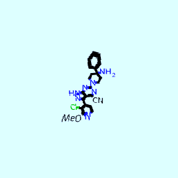 COc1nccc(-c2n[nH]c3nc(N4CCC(N)(c5ccccc5)CC4)nc(C#N)c23)c1Cl